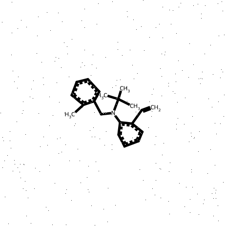 C=Cc1ccccc1N(Cc1ccccc1C)C(C)(C)C